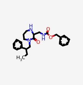 CCC(CN1CCCNC(CNC(=O)OCc2ccccc2)C1=O)c1ccccc1